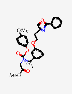 COC(=O)CN(C(=O)Oc1ccc(OC)cc1)[C@@H](C)c1cccc(OCCc2coc(-c3ccccc3)n2)c1